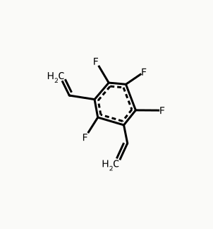 C=Cc1c(F)c(F)c(F)c(C=C)c1F